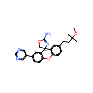 COC(C)(C)CCc1ccc2c(c1)[C@]1(COC(N)=N1)c1cc(-c3cncnc3)ccc1O2